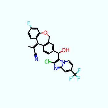 CC(C#N)=C1c2ccc(C(O)c3c(Cl)nc4cc(C(F)(F)F)ccn34)cc2COc2cc(F)ccc21